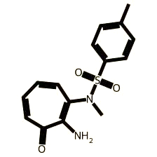 Cc1ccc(S(=O)(=O)N(C)c2ccccc(=O)c2N)cc1